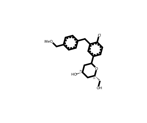 COCc1ccc(Cc2cc(C3C[C@@H](O)C[C@@H](CO)O3)ccc2Cl)cc1